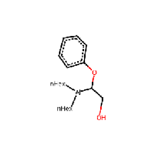 CCCCC[CH2][Al]([CH2]CCCCC)[CH](CO)Oc1ccccc1